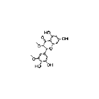 COc1cc(C2Oc3cc(O)cc(O)c3C(=O)C2OC)cc(O)c1O